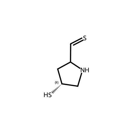 S=CC1C[C@@H](S)CN1